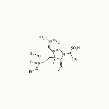 CC=C1N(C(CCC)S(=O)(=O)O)c2ccc(S(=O)(=O)O)cc2C1(C)CCP(=O)(OCC)OCC